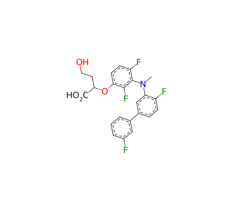 CN(c1cc(-c2cccc(F)c2)ccc1F)c1c(F)ccc(OC(CCO)C(=O)O)c1F